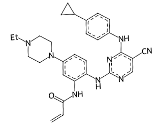 C=CC(=O)Nc1cc(N2CCN(CC)CC2)ccc1Nc1ncc(C#N)c(Nc2ccc(C3CC3)cc2)n1